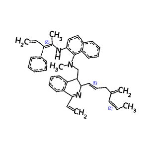 C=CC1=NC(/C=C/CC(=C)/C=C\C)C(CN(C)c2c(N/C(C)=C(/C=C)c3ccccc3)ccc3ccccc23)c2ccccc21